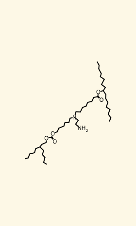 CCCCCCCCC(CCCCCCCC)OC(=O)CCCCCCCN(CCN)CCCCCCOC(=O)OCCC(CCCCC)CCCCC